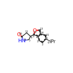 CC(C)c1ccc2c(C3CNC(=O)C3)occ2c1